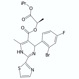 CC1=C(C(=O)O[C@H](C)C(=O)OC(C)C)C(c2ccc(F)cc2Br)N=C(c2nccs2)N1